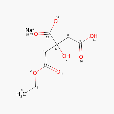 CCOC(=O)CC(O)(CC(=O)O)C(=O)[O-].[Na+]